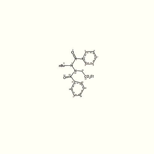 CCCCN(C(=O)c1ccccc1)N(CC(=O)OCC)C(=O)c1ccccc1